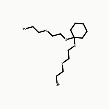 SCCSCCSC1(SCCSCCS)CCCCC1